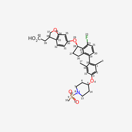 Cc1cc(OC2CCN(S(C)(=O)=O)CC2)cc(C)c1-c1ccc(F)c2c1CC[C@H]2Oc1ccc2c(c1)OCC2CC(=O)O